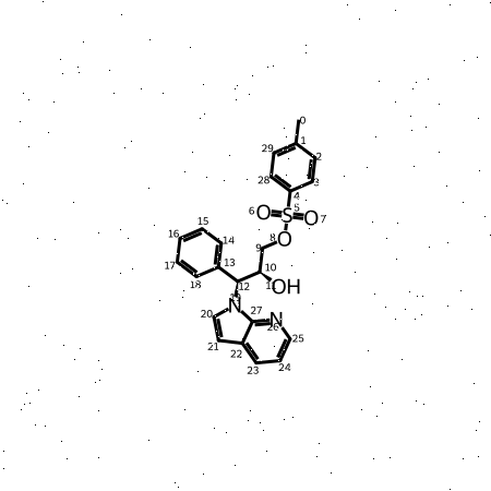 Cc1ccc(S(=O)(=O)OC[C@@H](O)[C@H](c2ccccc2)n2ccc3cccnc32)cc1